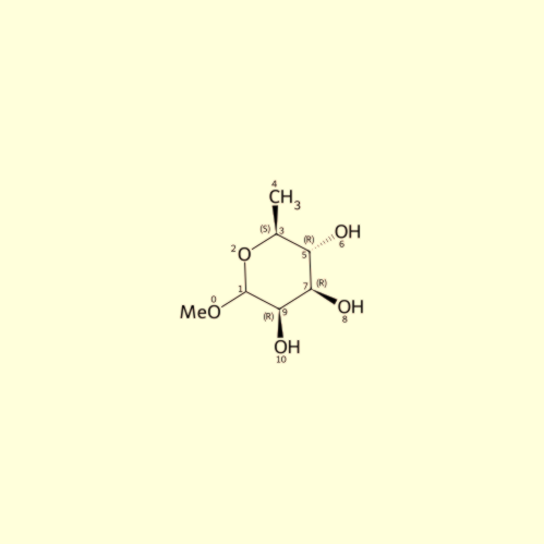 COC1O[C@@H](C)[C@H](O)[C@@H](O)[C@H]1O